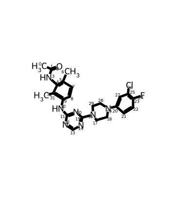 CC(=O)Nc1c(C)ccc(Nc2ncnc(N3CCN(c4ccc(F)c(Cl)c4)CC3)n2)c1C